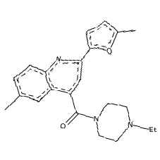 CCN1CCN(C(=O)c2cc(-c3ccc(C)o3)nc3ccc(C)cc23)CC1